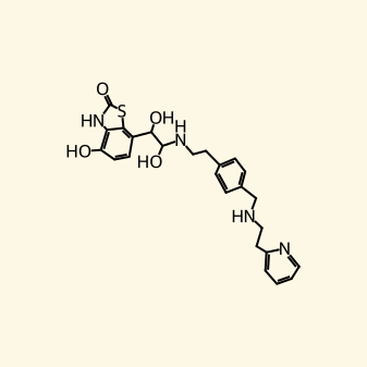 O=c1[nH]c2c(O)ccc(C(O)C(O)NCCc3ccc(CNCCc4ccccn4)cc3)c2s1